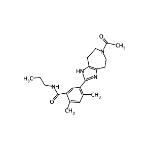 CCCNC(=O)c1cc(-c2nc3c([nH]2)CCN(C(C)=O)CC3)c(C)cc1C